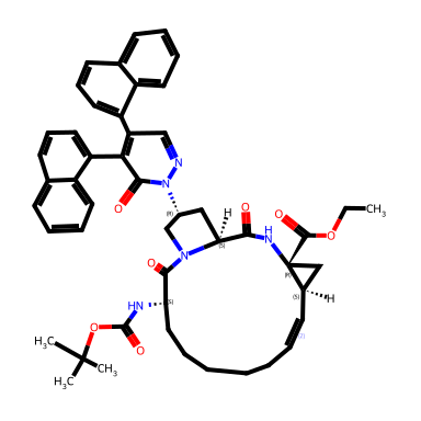 CCOC(=O)[C@@]12C[C@H]1/C=C\CCCCC[C@H](NC(=O)OC(C)(C)C)C(=O)N1C[C@H](n3ncc(-c4cccc5ccccc45)c(-c4cccc5ccccc45)c3=O)C[C@H]1C(=O)N2